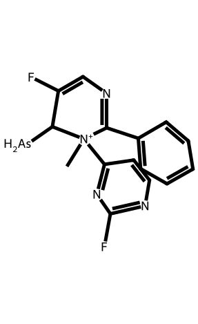 C[N+]1(c2ccnc(F)n2)C(c2ccccc2)=NC=C(F)C1[AsH2]